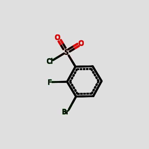 O=S(=O)(Cl)c1cccc(Br)c1F